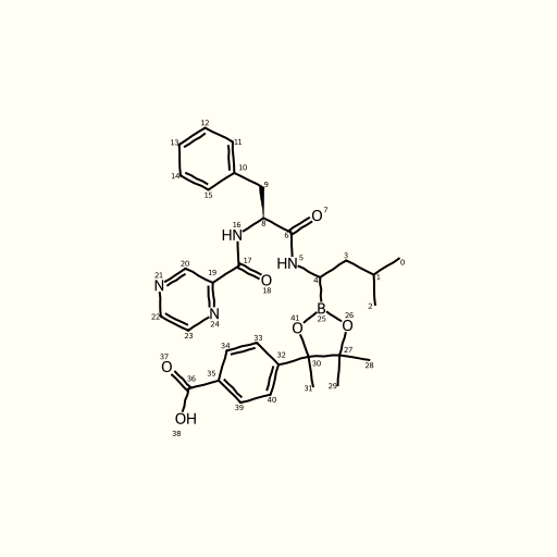 CC(C)CC(NC(=O)[C@H](Cc1ccccc1)NC(=O)c1cnccn1)B1OC(C)(C)C(C)(c2ccc(C(=O)O)cc2)O1